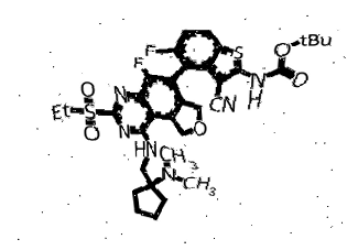 CCS(=O)(=O)c1nc(NCC2(N(C)C)CCCC2)c2c3c(c(-c4c(F)ccc5sc(NC(=O)OC(C)(C)C)c(C#N)c45)c(F)c2n1)COC3